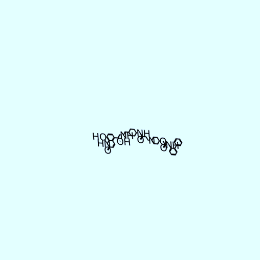 O=C(CCN1CCC(OC(=O)Nc2ccccc2-c2ccccc2)CC1)NC1CCC(CNC[C@H](O)c2ccc(O)c3[nH]c(=O)ccc23)CC1